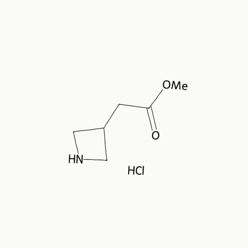 COC(=O)CC1CNC1.Cl